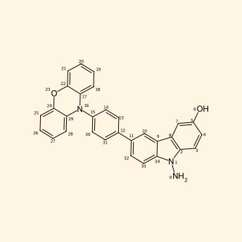 Nn1c2ccc(O)cc2c2cc(-c3ccc(N4c5ccccc5Oc5ccccc54)cc3)ccc21